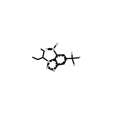 CCC(CC)n1nnc2cc(C(F)(F)F)cc([N+](=O)[O-])c21